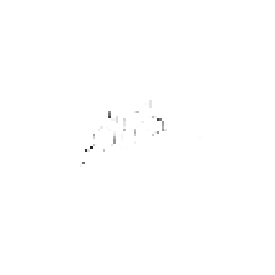 CC[C@@H]1CC2=CC(=O)CC[C@@H]2[C@H]2CC[C@@]3(C)[C@@H]([C@H]4C[C@H]4[C@@]3(O)/C=C\OC(=O)O)[C@H]12